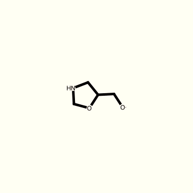 [O]CC1CNCO1